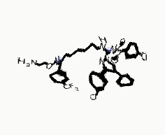 NCCO/N=C(/CCCCCCN/C(=N/S(=O)(=O)c1ccc(Cl)cc1)N1CC(c2ccccc2)C(c2ccc(Cl)cc2)=N1)c1ccc(C(F)(F)F)cc1